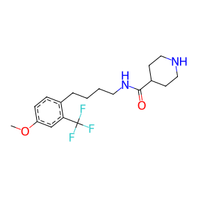 COc1ccc(CCCCNC(=O)C2CCNCC2)c(C(F)(F)F)c1